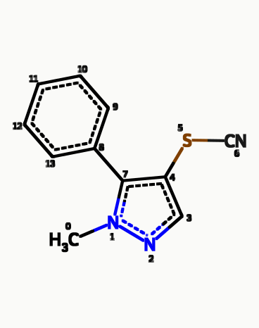 Cn1ncc(SC#N)c1-c1ccccc1